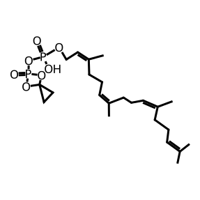 CC(C)=CCCC(C)=CCCC(C)=CCCC(C)=CCOP(=O)(O)OP1(=O)OC2(CC2)O1